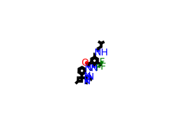 CC(C)CCNCc1cc(C(F)(F)F)c2ncn(-c3cccc(C4(c5nncn5C)CC(C)C4)c3)c(=O)c2c1